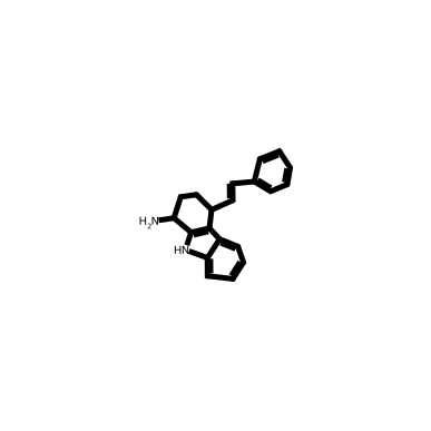 NC1CCC(C=Cc2ccccc2)c2c1[nH]c1ccccc21